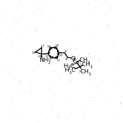 CC(C)(C)[Si](C)(C)OCCc1ccc(C2(N)CC2)cc1